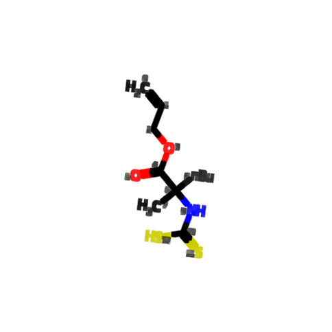 C=CCOC(=O)C(C)(CCCC)NC(=S)S